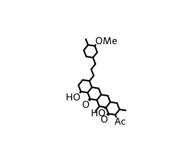 COC1CC(CCCC2CCC(O)C3C(=O)C4C(CC23)CC2CC(C)C(C(C)=O)C(=O)C2(O)C4C)CCC1C